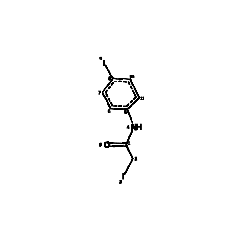 O=C(CI)Nc1ccc(I)cc1